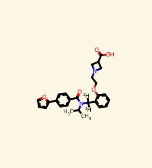 [2H]C([2H])(c1ccccc1OCCN1CC(C(=O)O)C1)N(C(=O)c1ccc(-c2ccco2)cc1)C(C)C